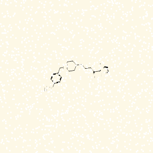 CC(C)c1ccc(CN2CCC(CCCC(=O)c3ncco3)CC2)cc1